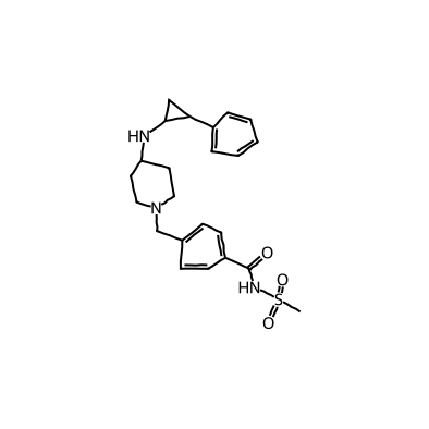 CS(=O)(=O)NC(=O)c1ccc(CN2CCC(NC3CC3c3ccccc3)CC2)cc1